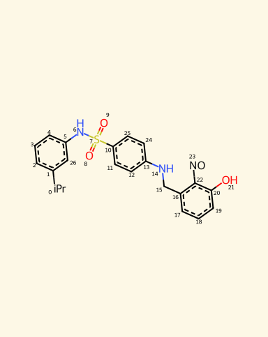 CC(C)c1cccc(NS(=O)(=O)c2ccc(NCc3cccc(O)c3N=O)cc2)c1